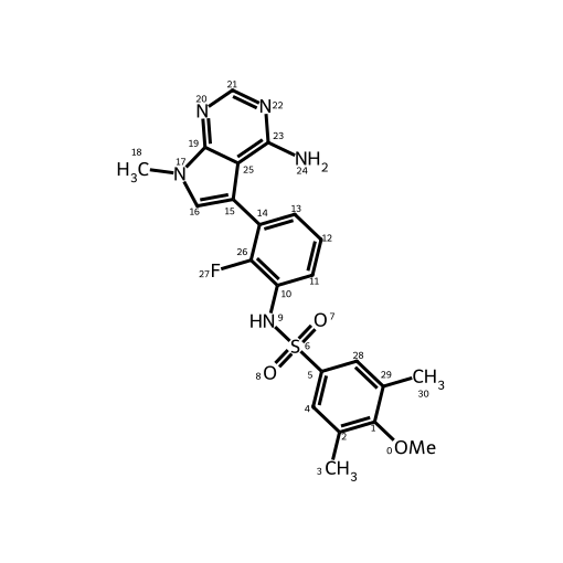 COc1c(C)cc(S(=O)(=O)Nc2cccc(-c3cn(C)c4ncnc(N)c34)c2F)cc1C